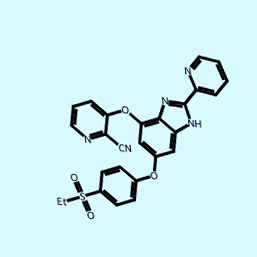 CCS(=O)(=O)c1ccc(Oc2cc(Oc3cccnc3C#N)c3nc(-c4ccccn4)[nH]c3c2)cc1